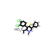 CC(C(=O)O)C1=C(c2ccc(Cl)c(Cl)c2)C2=C(CN1C)C1=CCCCC1S2